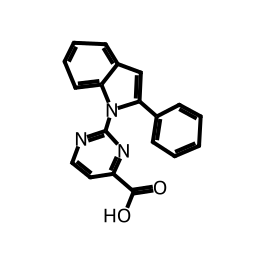 O=C(O)c1ccnc(-n2c(-c3ccccc3)cc3ccccc32)n1